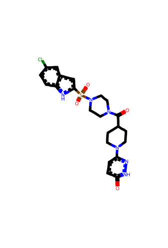 O=C(C1CCN(c2ccc(=O)[nH]n2)CC1)N1CCN(S(=O)(=O)c2cc3cc(Cl)ccc3[nH]2)CC1